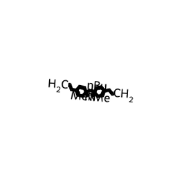 C=CCC1=CCC(NC)(C(CCCC)C2(NC)C=CC(CC=C)=CC2)C=C1